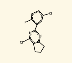 Fc1ccc(Cl)cc1-c1nc(Cl)c2c(n1)CCC2